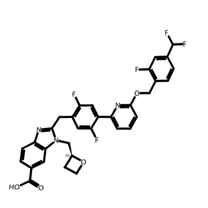 O=C(O)c1ccc2nc(Cc3cc(F)c(-c4cccc(OCc5ccc(C(F)F)cc5F)n4)cc3F)n(C[C@@H]3CCO3)c2c1